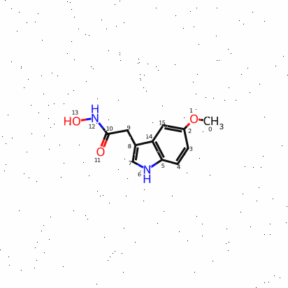 COc1ccc2[nH]cc(CC(=O)NO)c2c1